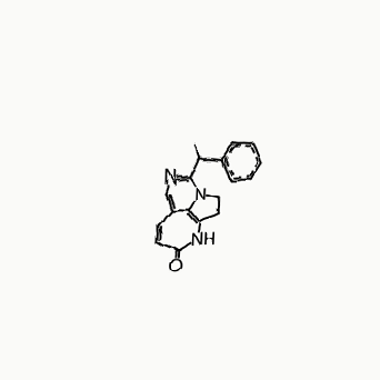 CC(C1=NC=C2C=CC(=O)NC3=C2N1CC3)c1ccccc1